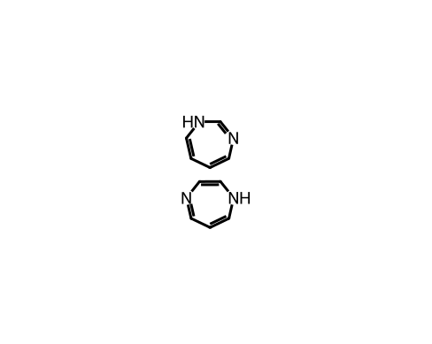 C1=CN=CNC=C1.C1=CNC=CN=C1